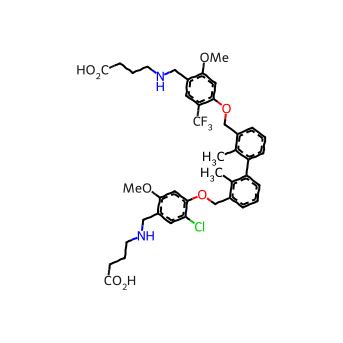 COc1cc(OCc2cccc(-c3cccc(COc4cc(OC)c(CNCCCC(=O)O)cc4C(F)(F)F)c3C)c2C)c(Cl)cc1CNCCCC(=O)O